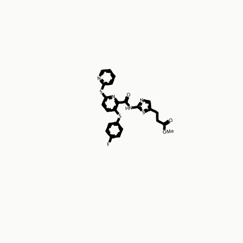 COC(=O)CCc1cnc(NC(=O)c2nc(Sc3ccccn3)ccc2Sc2ccc(F)cc2)s1